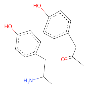 CC(=O)Cc1ccc(O)cc1.CC(N)Cc1ccc(O)cc1